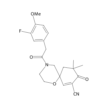 COc1ccc(CC(=O)N2CCOC3(C=C(C#N)C(=O)C(C)(C)C3)C2)cc1F